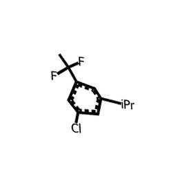 CC(C)c1cc(Cl)cc(C(C)(F)F)c1